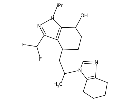 CC(CC1CCC(O)c2c1c(C(F)F)nn2C(C)C)n1cnc2c1CCCC2